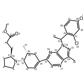 COC(=O)CC[C@@H]1CCCN1[C@H]1CC=C(c2cnc3c(C)nn(C(C)c4ccc(Cl)cc4Cl)c3n2)C[C@H]1C